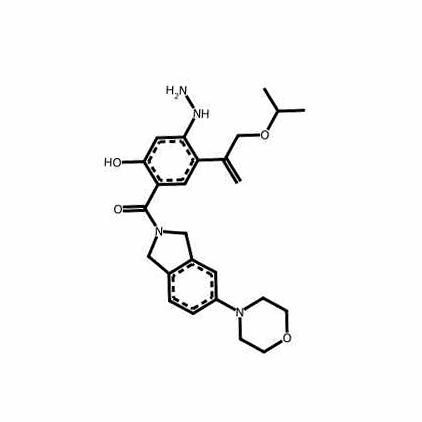 C=C(COC(C)C)c1cc(C(=O)N2Cc3ccc(N4CCOCC4)cc3C2)c(O)cc1NN